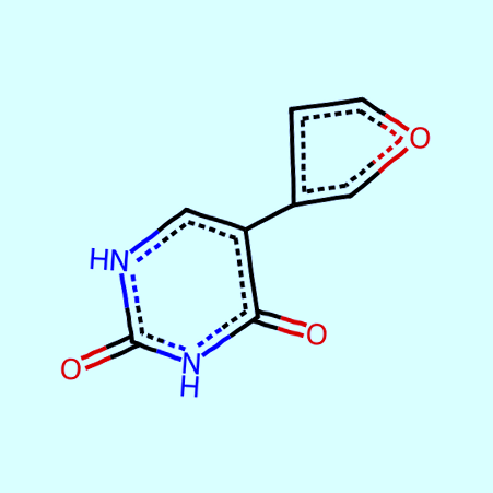 O=c1[nH]cc(-c2ccoc2)c(=O)[nH]1